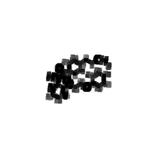 CCCc1ccc(S(=O)(=O)Nc2nccnc2OCCOc2ccccc2)cc1